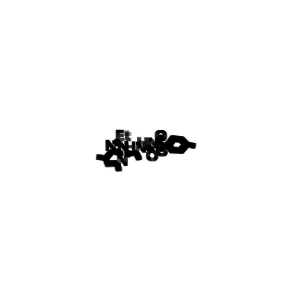 CCc1nc2c3n1C(C(C)NC(=O)NS(=O)(=O)c1ccc(C)cc1)N3C(C)=CC2C